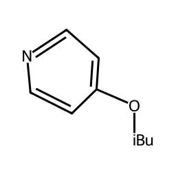 CCC(C)Oc1ccncc1